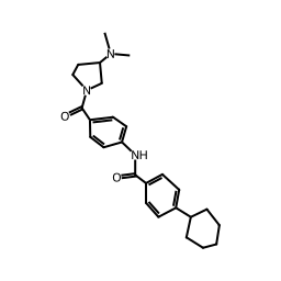 CN(C)C1CCN(C(=O)c2ccc(NC(=O)c3ccc(C4CCCCC4)cc3)cc2)C1